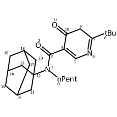 CCCCCN(C(=O)C1=CN=C(C(C)(C)C)CC1=O)C12CC3CC(CC(C3)C1)C2